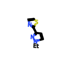 CCn1ccc(-c2nccs2)n1